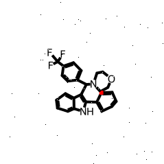 FC(F)(F)c1ccc(C(c2c(-c3ccccc3)[nH]c3ccccc23)N2CCOCC2)cc1